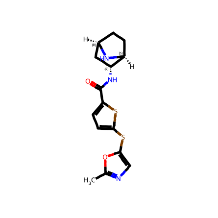 Cc1ncc(Sc2ccc(C(=O)N[C@@H]3C[C@H]4CC[C@@H]3N4)s2)o1